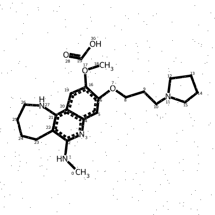 CNc1nc2cc(OCCCN3CCCC3)c(OC)cc2c2c1CCCCN2.O=CO